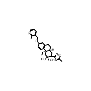 CC[C@@]12C[C@@](C)(O)[C@](O)(c3noc(C)n3)C[C@H]1CCc1cc(OCc3cccnc3C)ccc12